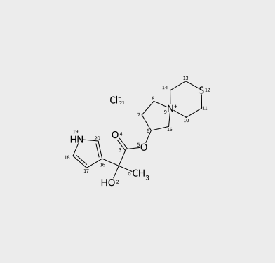 CC(O)(C(=O)OC1CC[N+]2(CCSCC2)C1)c1cc[nH]c1.[Cl-]